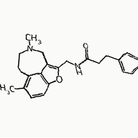 Cc1ccc2oc(CNC(=O)CCc3ccccc3)c3c2c1CCN(C)C3